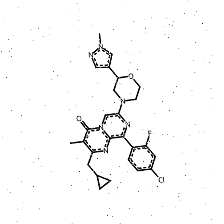 Cc1c(CC2CC2)nc2c(-c3ccc(Cl)cc3F)nc(N3CCOC(c4cnn(C)c4)C3)cn2c1=O